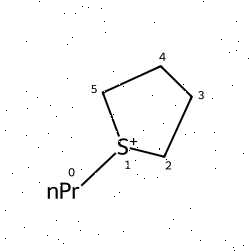 CCC[S+]1CCCC1